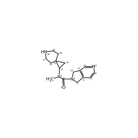 CN(C(=O)N1Cc2ccncc2C1)C1CC12CCNCC2